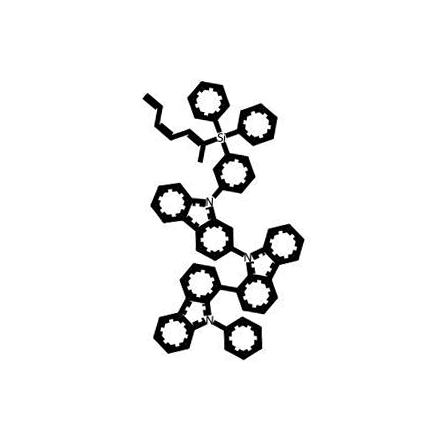 C=C/C=C\C=C(/C)[Si](c1ccccc1)(c1ccccc1)c1cccc(-n2c3ccccc3c3ccc(-n4c5ccccc5c5cccc(-c6cccc7c8ccccc8n(-c8ccccc8)c67)c54)cc32)c1